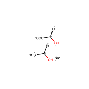 CCC(O)C(=O)O.CC[C@@H](O)C(=O)[O-].[Na+]